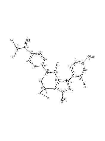 COc1ccc(-n2nc(C(F)(F)F)c3c2C(=O)N(c2ccc(C(=N)N(C)C)cc2)CC32CC2)c(F)c1